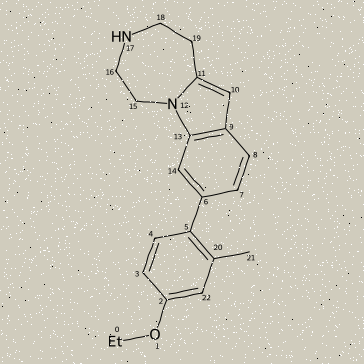 CCOc1ccc(-c2ccc3cc4n(c3c2)CCNCC4)c(C)c1